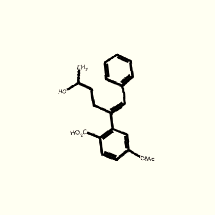 COc1ccc(C(=O)O)c(C(=Cc2ccccc2)CCC(C)O)c1